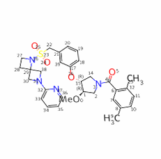 CO[C@@H]1CN(C(=O)c2cc(C)ccc2C)C[C@H]1Oc1cccc(CS(=O)(=O)N2CCC23CN(c2ccccn2)C3)c1